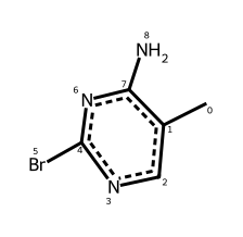 Cc1cnc(Br)nc1N